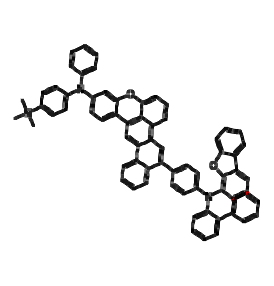 C[Si](C)(C)c1ccc(N(c2ccccc2)c2ccc3c(c2)Oc2cccc4c2c-3cc2c3ccccc3c(-c3ccc(N(c5ccccc5-c5ccccc5)c5cccc6c5oc5ccccc56)cc3)cc42)cc1